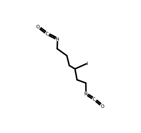 O=C=NCCCC(I)CCN=C=O